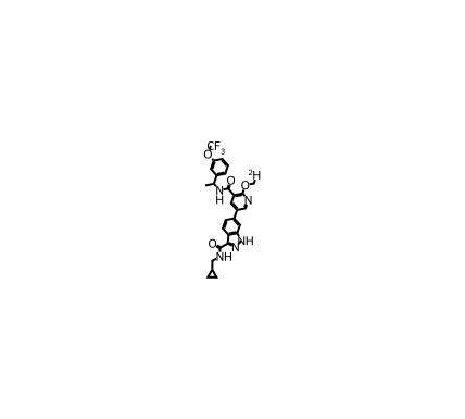 [2H]COc1ncc(-c2ccc3c(C(=O)NCC4CC4)n[nH]c3c2)cc1C(=O)NC(C)c1cccc(OC(F)(F)F)c1